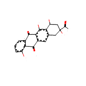 CC(=O)C1(O)Cc2cc3c(c(O)c2C(O)C1)C(=O)c1cccc(O)c1C3=O